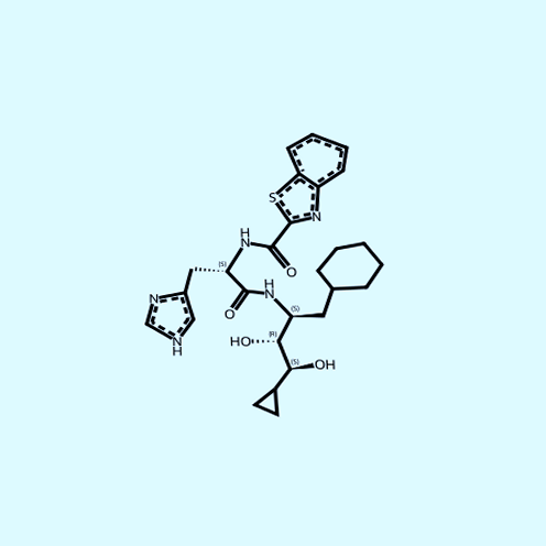 O=C(N[C@@H](Cc1c[nH]cn1)C(=O)N[C@@H](CC1CCCCC1)[C@@H](O)[C@@H](O)C1CC1)c1nc2ccccc2s1